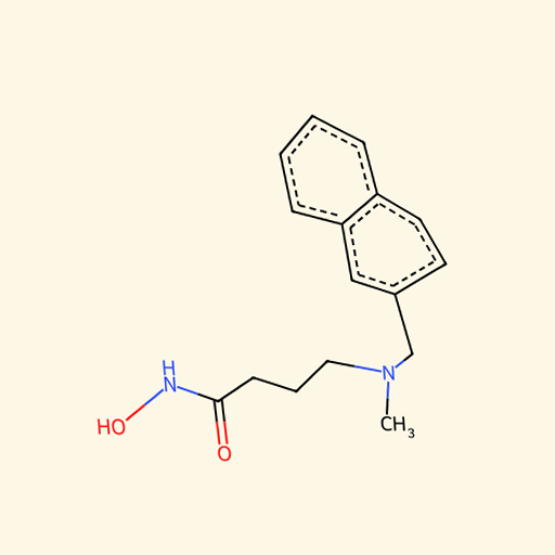 CN(CCCC(=O)NO)Cc1ccc2ccccc2c1